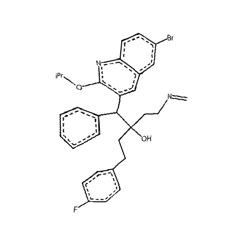 C=NCCC(O)(CCc1ccc(F)cc1)C(c1ccccc1)c1cc2cc(Br)ccc2nc1OC(C)C